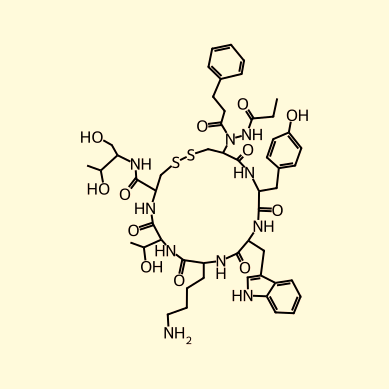 CCC(=O)NN(C(=O)CCc1ccccc1)C1CSSCC(C(=O)NC(CO)C(C)O)NC(=O)C(C(C)O)NC(=O)C(CCCCN)NC(=O)C(Cc2c[nH]c3ccccc23)NC(=O)C(Cc2ccc(O)cc2)NC1=O